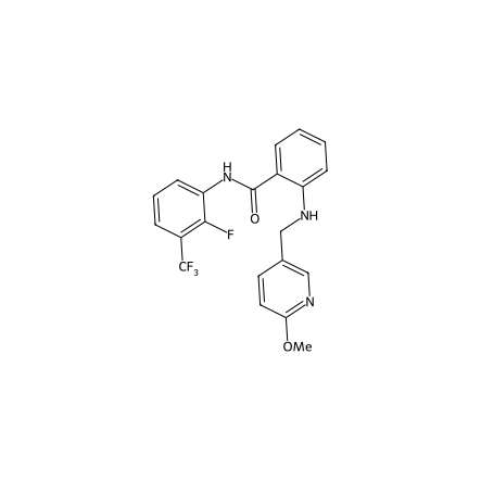 COc1ccc(CNc2ccccc2C(=O)Nc2cccc(C(F)(F)F)c2F)cn1